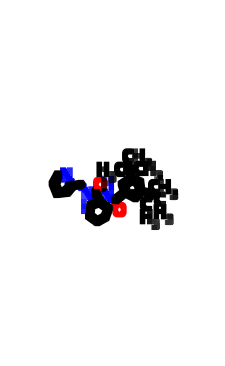 CC(C)(C)c1cc(C(=O)NC2(C(=O)NCc3ccccn3)CCCCC2)cc(C(C)(C)C)c1